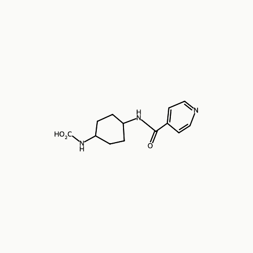 O=C(O)NC1CCC(NC(=O)c2ccncc2)CC1